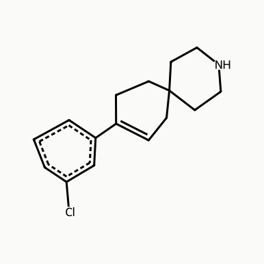 Clc1cccc(C2=CCC3(CCNCC3)CC2)c1